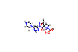 CCC(=O)C1(C(=O)Nc2cc(N3CCN(C)C[C@H]3C)ncn2)CCN(C(=O)O)N1C